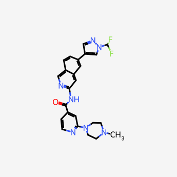 CN1CCN(c2cc(C(=O)Nc3cc4cc(-c5cnn(C(F)F)c5)ccc4cn3)ccn2)CC1